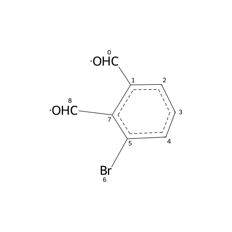 O=[C]c1cccc(Br)c1[C]=O